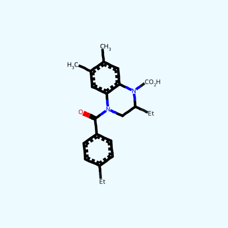 CCc1ccc(C(=O)N2CC(CC)N(C(=O)O)c3cc(C)c(C)cc32)cc1